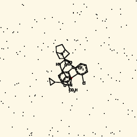 O=C(O)c1ccc(NC(=O)N2C3CCC2CC(OCc2c(-c4c(Cl)cccc4Cl)noc2C2CC2)C3)c(OC(F)(F)F)c1